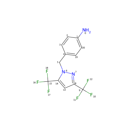 Nc1ccc(Cn2nc(C(F)(F)F)cc2C(F)(F)F)cc1